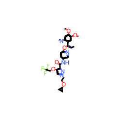 C=Nc1cc(OC)c(OC)cc1/C(=C\C)Oc1ccc(NC(=O)c2nn(CCOC3CC3)cc2OCC(F)(F)F)cn1